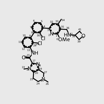 COc1nc(-c2cccc(-c3cccc(NC(=O)c4nc5c(n4C)CCN(C)C5)c3Cl)c2Cl)cc(C)c1CNC1COC1